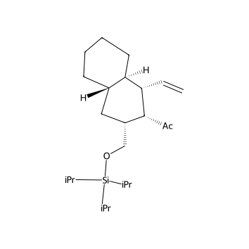 C=C[C@H]1[C@@H]2CCCC[C@H]2C[C@@H](CO[Si](C(C)C)(C(C)C)C(C)C)[C@H]1C(C)=O